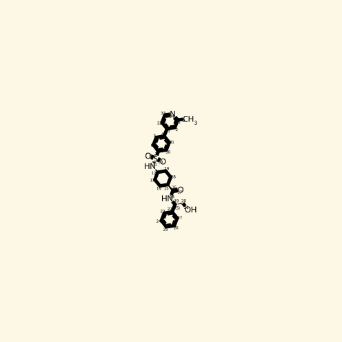 Cc1cc(-c2ccc(S(=O)(=O)N[C@H]3CC[C@H](C(=O)N[C@H](CO)c4ccccc4)CC3)cc2)ccn1